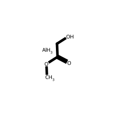 COC(=O)CO.[AlH3]